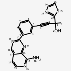 CC(O)(C#Cc1cccc(-c2ncc3ccnc(N)c3n2)c1)c1nccs1